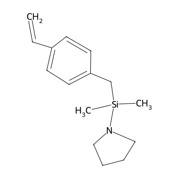 C=Cc1ccc(C[Si](C)(C)N2CCCC2)cc1